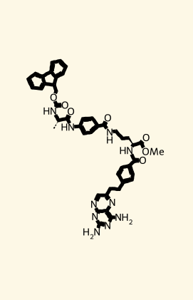 COC(=O)[C@H](CCCNC(=O)c1ccc(NC(=O)[C@H](C)NC(=O)OCC2c3ccccc3-c3ccccc32)cc1)NC(=O)c1ccc(CCc2cnc3nc(N)nc(N)c3n2)cc1